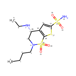 BCCCN1C[C@H](NCC)c2cc(S(N)(=O)=O)sc2S1(=O)=O